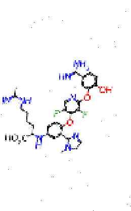 CC(=N)NCCCCC(Nc1ccc(Oc2c(F)cnc(Oc3cc(C(=N)N)ccc3O)c2F)c(C2N=CCN2C)c1)C(=O)O